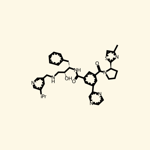 Cc1csc([C@H]2CCCN2C(=O)c2cc(C(=O)N[C@@H](Cc3ccccc3)[C@H](O)CNCc3cncc(C(C)C)c3)cc(-c3cnccn3)c2)n1